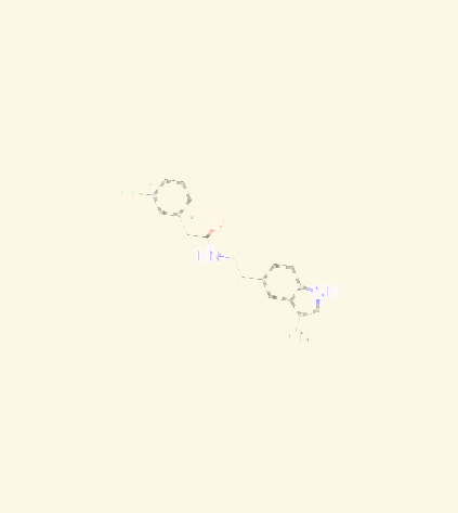 N#Cc1c[nH]c2ccc(CCNC(=O)Cc3cccc(Cl)c3)cc12